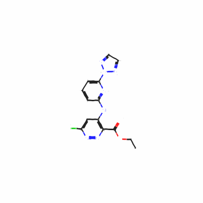 CCOC(=O)c1nnc(Cl)cc1Nc1cccc(-n2nccn2)n1